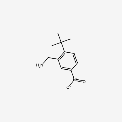 CC(C)(C)c1ccc([N+](=O)[O-])cc1CN